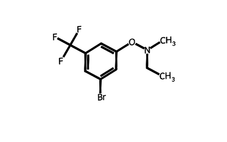 CCN(C)Oc1cc(Br)cc(C(F)(F)F)c1